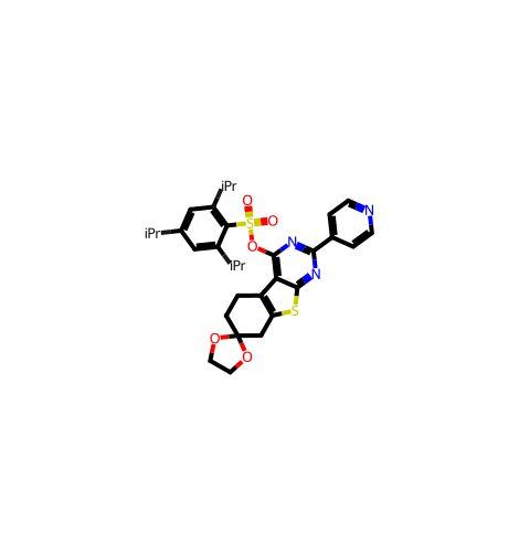 CC(C)c1cc(C(C)C)c(S(=O)(=O)Oc2nc(-c3ccncc3)nc3sc4c(c23)CCC2(C4)OCCO2)c(C(C)C)c1